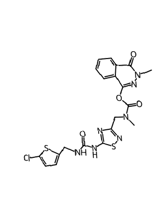 CN(Cc1nsc(NC(=O)NCc2ccc(Cl)s2)n1)C(=O)Oc1nn(C)c(=O)c2ccccc12